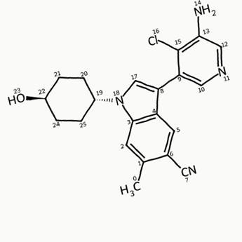 Cc1cc2c(cc1C#N)c(-c1cncc(N)c1Cl)cn2[C@H]1CC[C@H](O)CC1